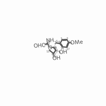 COc1ccc(C[C@@H]2[C@H](O)[C@@H](O)CN2C(N)C=O)cc1